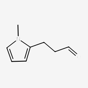 Cn1cccc1CCC=O